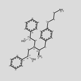 C[C@H](Cc1ccc(OCCN)cc1)N(C[C@H](O)c1ccccc1)C[C@H](O)c1ccccc1